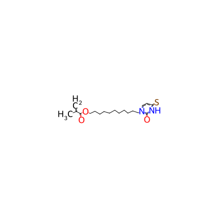 C=C(C)C(=O)OCCCCCCCCCCCn1ccc(=S)[nH]c1=O